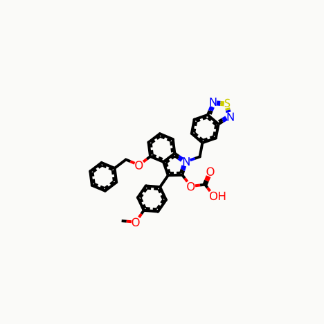 COc1ccc(-c2c(OC(=O)O)n(Cc3ccc4nsnc4c3)c3cccc(OCc4ccccc4)c23)cc1